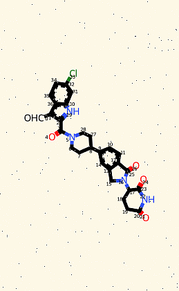 O=Cc1c(C(=O)N2CCC(c3ccc4c(c3)CN(C3CCC(=O)NC3=O)C4=O)CC2)[nH]c2cc(Cl)ccc12